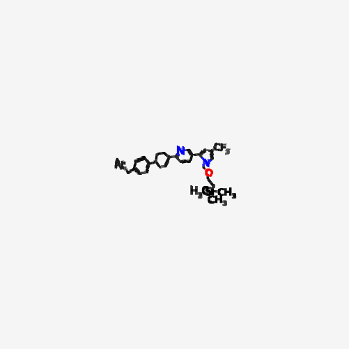 CC(=O)Cc1ccc(C2CC=C(c3ccc(-c4cc(C(F)(F)F)cn4COCC[Si](C)(C)C)cn3)CC2)cc1